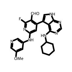 COc1cncc(Nc2cc(-c3c[nH]c4ncnc(NC5CCCCC5)c34)c(C=O)c(F)n2)c1